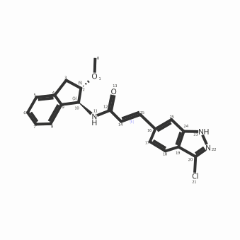 CO[C@H]1Cc2ccccc2[C@@H]1NC(=O)/C=C/c1ccc2c(Cl)n[nH]c2c1